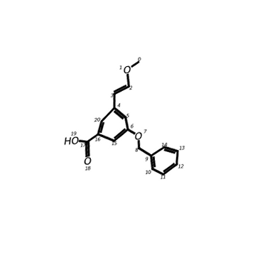 CO/C=C/c1cc(OCc2ccccc2)cc(C(=O)O)c1